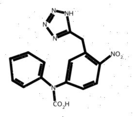 O=C(O)N(c1ccccc1)c1ccc([N+](=O)[O-])c(Cc2nnn[nH]2)c1